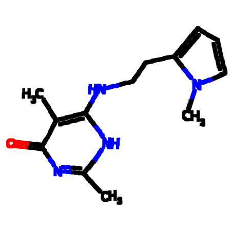 Cc1nc(=O)c(C)c(NCCc2cccn2C)[nH]1